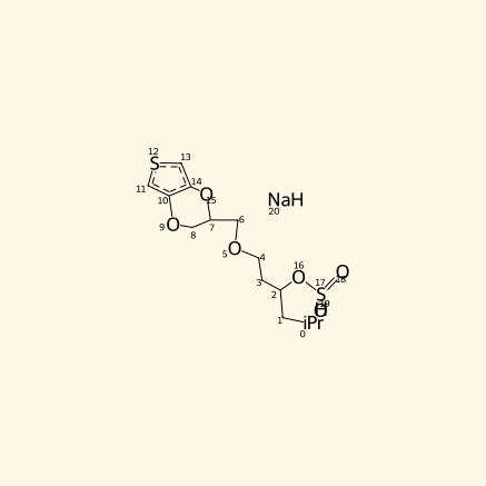 CC(C)CC(CCOCC1COc2cscc2O1)O[SH](=O)=O.[NaH]